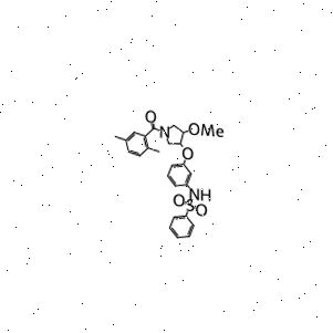 COC1CN(C(=O)c2cc(C)ccc2C)CC1Oc1cccc(NS(=O)(=O)c2ccccc2)c1